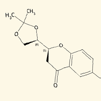 CC1(C)OC[C@H]([C@@H]2CC(=O)c3cc(F)ccc3O2)O1